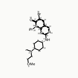 COCCN(C)[C@H]1CC[C@H](Nc2ncc3cc(Br)c(=O)n(C(C)C)c3n2)CC1